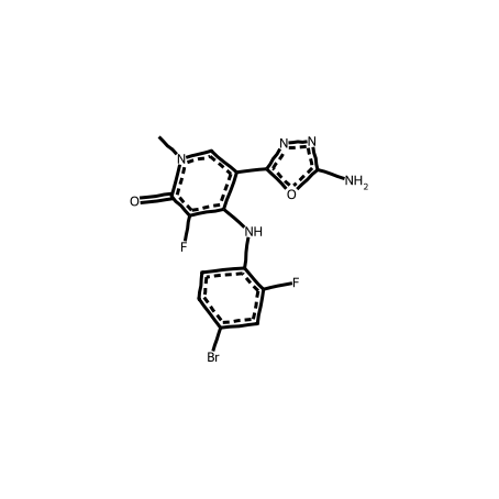 Cn1cc(-c2nnc(N)o2)c(Nc2ccc(Br)cc2F)c(F)c1=O